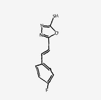 Fc1ccc(C=Cc2nnc(S)o2)cc1